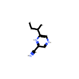 CCC(C)c1cncc(C#N)n1